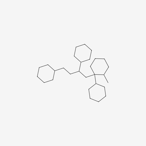 CC1CCCCC1(CC(CCC1CCCCC1)C1CCCCC1)C1CCCCC1